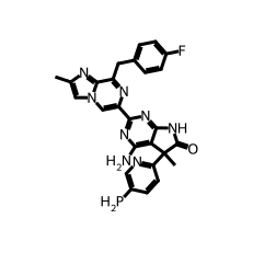 Cc1cn2cc(-c3nc(N)c4c(n3)NC(=O)C4(C)c3ccc(P)cn3)nc(Cc3ccc(F)cc3)c2n1